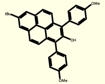 COc1ccc(-c2c(O)c(-c3ccc(OC)cc3)c3ccc4cc(C(C)(C)C)cc5ccc2c3c54)cc1